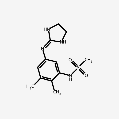 Cc1cc(N=C2NCCN2)cc(NS(C)(=O)=O)c1C